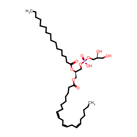 CCCCC/C=C\C/C=C\C/C=C\CCCCCCC(=O)OC[C@H](COP(=O)(O)OC[C@@H](O)CO)OC(=O)CCCCCCCCCCCCCCC